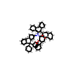 c1ccc(C2(c3ccccc3)c3ccccc3-c3ccc(N(c4c(-c5ccc6ccccc6c5)c5ccccc5c5ccccc45)c4cccc5c4oc4ccccc45)cc32)cc1